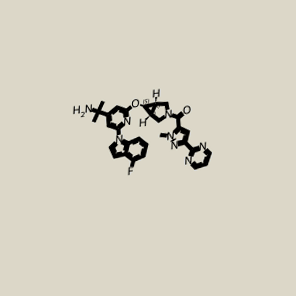 Cn1nc(-c2ncccn2)cc1C(=O)N1C[C@@H]2[C@H](C1)[C@H]2Oc1cc(C(C)(C)N)cc(-n2ccc3c(F)cccc32)n1